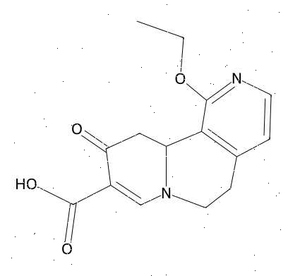 CCOc1nccc2c1C1CC(=O)C(C(=O)O)=CN1CC2